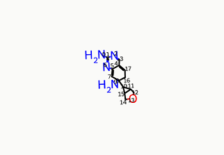 Nc1ncc2c(n1)=CC(N)(C1C3COCC31)CC=2